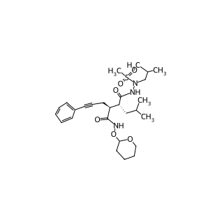 CC(C)C[C@@H](C(=O)NN(CC(C)C)S(C)(=O)=O)[C@H](CC#Cc1ccccc1)C(=O)NOC1CCCCO1